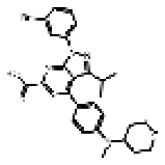 CC(C)c1nn(-c2cccc(Br)c2)c2nc(C(=O)O)cc(-c3ccc(N(C)C4CCOCC4)cc3)c12